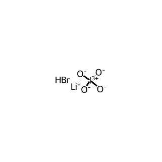 Br.[Li+].[O-][I+3]([O-])([O-])[O-]